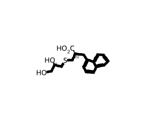 O=C(O)[C@@H](CSC[C@@H](O)CO)Cc1cccc2ccccc12